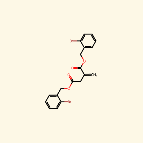 C=C(CC(=O)OCc1ccccc1Br)C(=O)OCc1ccccc1Br